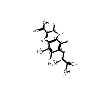 Cc1c(O)c2c(c(C)c1C[C@H](N)C(=O)O)SC(C)C(C(=O)O)=N2